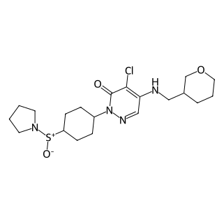 O=c1c(Cl)c(NCC2CCCOC2)cnn1C1CCC([S+]([O-])N2CCCC2)CC1